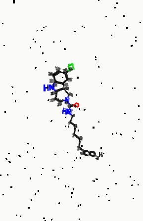 O=C(O)CCCCCCNC(=O)N1CCc2[nH]c3ccc(Cl)cc3c2C1